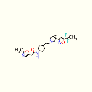 Cc1ncc(CC(=O)N[C@H]2CC[C@H](CCN3CC4C[C@]4(c4cc(C(C)(F)F)on4)C3)CC2)o1